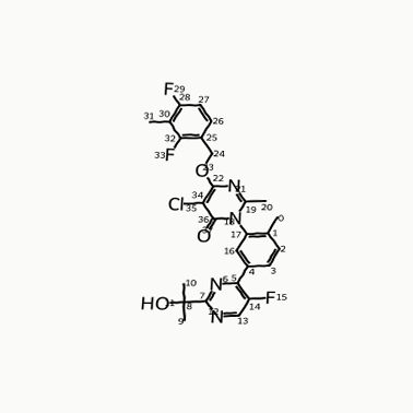 Cc1ccc(-c2nc(C(C)(C)O)ncc2F)cc1-n1c(C)nc(OCc2ccc(F)c(C)c2F)c(Cl)c1=O